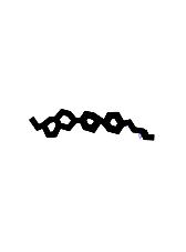 C/C=C/CCc1ccc(-c2ccc(C3CCC4CC(CC)CCC4C3)cc2)cc1